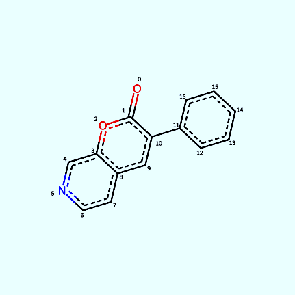 O=c1oc2cnccc2cc1-c1ccccc1